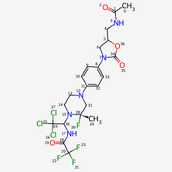 CC(=O)NCC1CN(c2ccc(N3CCN(C(NC(=O)C(F)(F)F)C(Cl)(Cl)Cl)[C@@](C)(F)C3)cc2)C(=O)O1